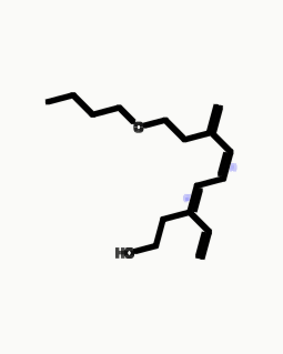 C=C/C(=C\C=C/C(=C)CCOCCCC)CCO